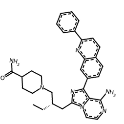 CC[C@@H](Cc1nc(-c2ccc3ccc(-c4ccccc4)nc3c2)c2c(N)nccn12)CN1CCC(C(N)=O)CC1